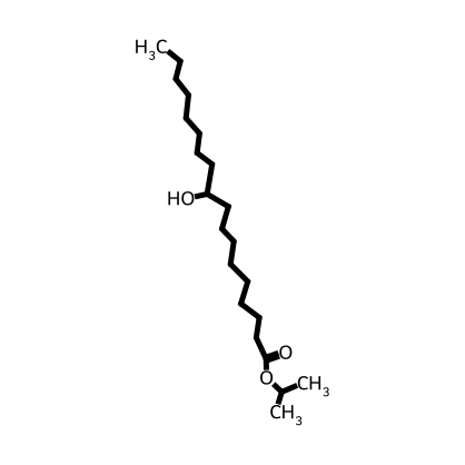 CCCCCCCCC(O)CCCCCCCCC(=O)OC(C)C